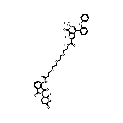 Cn1cc(-c2ccccc2Oc2ccccc2)c2cc(C(=O)NCCOCCOCCOCCC(=O)Nc3cccc4c3C(=O)N(C3CCC(=O)NC3=O)C4=O)[nH]c2c1=O